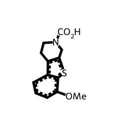 COc1cccc2c3c(sc12)CN(C(=O)O)CC3